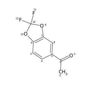 CC(=O)c1ccc2c(c1)OC(F)(F)O2